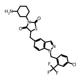 NC1CCCC(N2C(=O)SC(Cc3ccc4c(cnn4Cc4ccc(Cl)cc4C(F)(F)F)c3)C2=O)C1